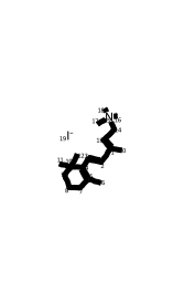 CC(C=CC1=C(C)CCCC1(C)C)=CC[N+](C)(C)C.[I-]